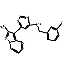 Nc1nn2cccnc2c1-c1cc(NCc2cccc(F)c2)ncn1